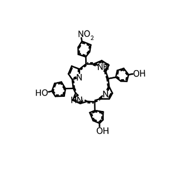 O=[N+]([O-])c1ccc(-c2c3nc(c(-c4ccc(O)cc4)c4ccc([nH]4)c(-c4ccc(O)cc4)c4nc(c(-c5ccc(O)cc5)c5ccc2[nH]5)C=C4)C=C3)cc1